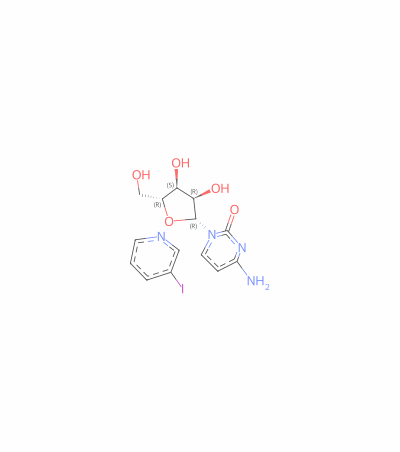 Ic1cccnc1.Nc1ccn([C@@H]2O[C@H](CO)[C@@H](O)[C@H]2O)c(=O)n1